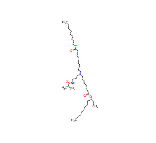 CCCCCCCCCOC(=O)CCCCCCCN(CCCCCCCC(=O)OC(CC)CCCCCCCC)CCCNC(=O)C(C)C